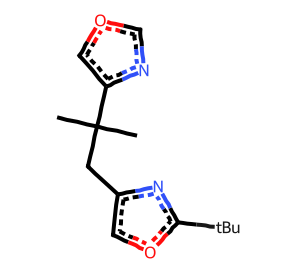 CC(C)(C)c1nc(CC(C)(C)c2cocn2)co1